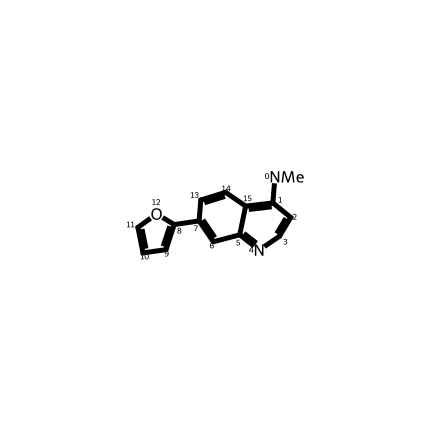 CNc1ccnc2cc(-c3ccco3)ccc12